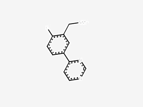 CNCc1cc(-c2ccncn2)ccc1F